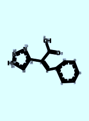 O=C(O)C(=Cc1ccccc1)c1c[nH]nn1